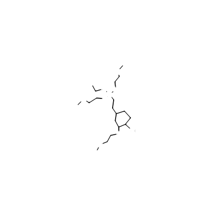 CCO[Si](CCC1CCC(O)C(OCCOC)C1)(OCCOC)OCCOC